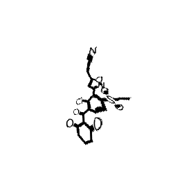 CCS(=O)(=O)c1ccc(C(=O)C2C(=O)CCCC2=O)c(Cl)c1-c1cc(CC#N)on1